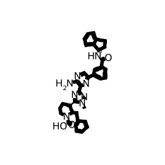 Cn1nc(-c2nc(-c3cccc(C(=O)N[C@H]4CCc5ccccc54)c3)cnc2N)nc1[C@@H]1CCCN(C(=O)O)C1Cc1ccccc1